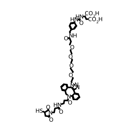 O=C(O)C[C@H](NC(=O)Nc1ccc(CNC(=O)CCOCCOCCOCCOCCn2nnc3c2-c2ccccc2CN(C(=O)CCNC(=O)CCN2C(=O)CC(S)C2=O)c2ccccc2-3)cc1)C(=O)O